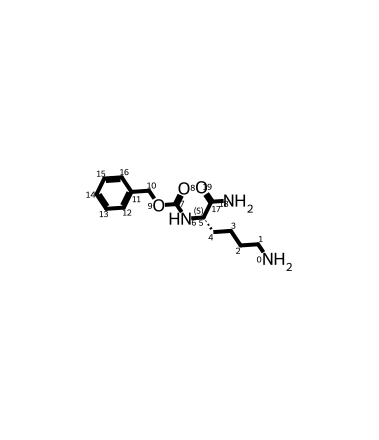 NCCCC[C@H](NC(=O)OCc1ccccc1)C(N)=O